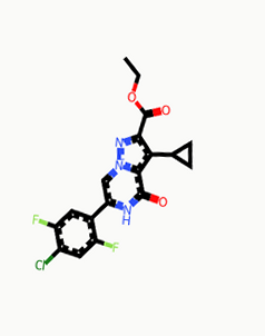 CCOC(=O)c1nn2cc(-c3cc(F)c(Cl)cc3F)[nH]c(=O)c2c1C1CC1